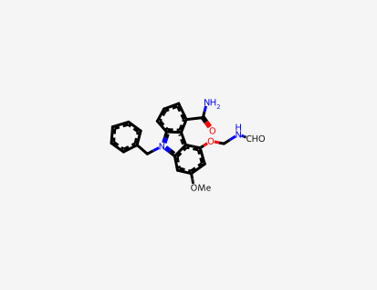 COc1cc(OCNC=O)c2c3c(C(N)=O)cccc3n(Cc3ccccc3)c2c1